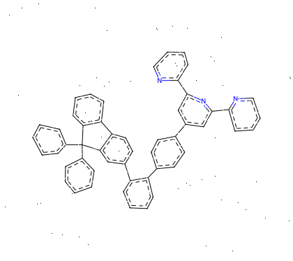 c1ccc(C2(c3ccccc3)c3ccccc3-c3ccc(-c4ccccc4-c4ccc(-c5cc(-c6ccccn6)nc(-c6ccccn6)c5)cc4)cc32)cc1